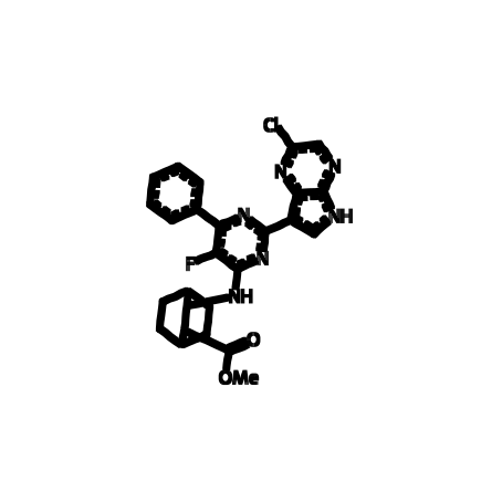 COC(=O)C1C2CCC(CC2)C1Nc1nc(-c2c[nH]c3ncc(Cl)nc23)nc(-c2ccccc2)c1F